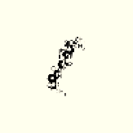 CC(C)OP1(=O)OC[C@H]2OC(n3ccc(NC(=O)c4ccc5c(c4)OC(C)CO5)nc3=O)C(F)(F)[C@@H]2O1